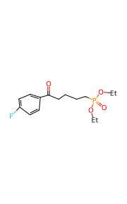 CCOP(=O)(CCCCC(=O)c1ccc(F)cc1)OCC